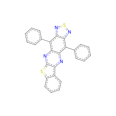 c1ccc(-c2c3nsnc3c(-c3ccccc3)c3nc4c(nc23)sc2ccccc24)cc1